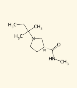 CCC(C)(C)N1CC[C@@H](C(=O)NC)C1